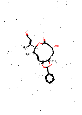 C/C(=C\C=O)[C@H]1OC(=O)C[C@H](O)CC[C@@]2(C)OC(c3ccccc3)O[C@H]2/C=C/[C@@H]1C